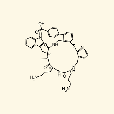 CN1C(=O)[C@H](CCCN)NC(=O)C(CCCN)NCc2cccnc2Sc2cccc(-c3ccc(C(=O)O)cc3)c2CNC(=O)[C@@H]1Cc1c[nH]c2ccccc12